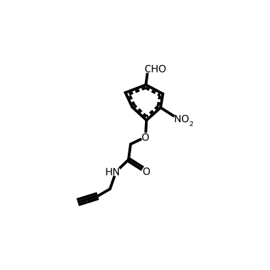 C#CCNC(=O)COc1ccc(C=O)cc1[N+](=O)[O-]